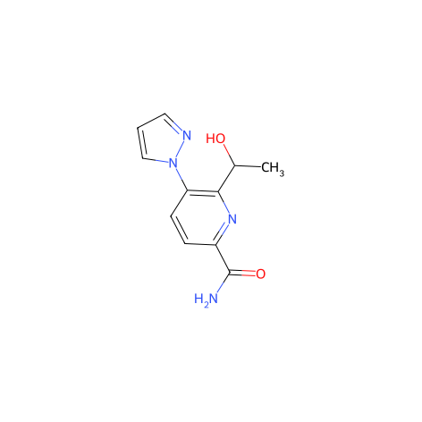 CC(O)c1nc(C(N)=O)ccc1-n1cccn1